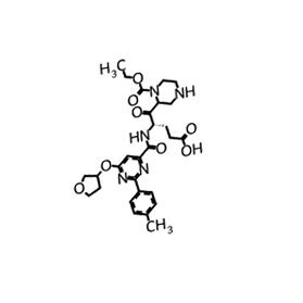 CCOC(=O)N1CCNCC1C(=O)[C@H](CCC(=O)O)NC(=O)c1cc(OC2CCOC2)nc(-c2ccc(C)cc2)n1